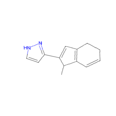 CC1C(c2cc[nH]n2)=CC2=C1C=CCC2